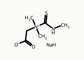 CNC(=S)[N+](C)(C)CC(=O)[O-].[NaH]